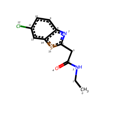 CCNC(=O)Cc1nc2ccc(Cl)cc2s1